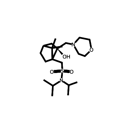 CC(C)N(C(C)C)S(=O)(=O)CC12CCC(C[C@]1(O)CN1CCOCC1)C2(C)C